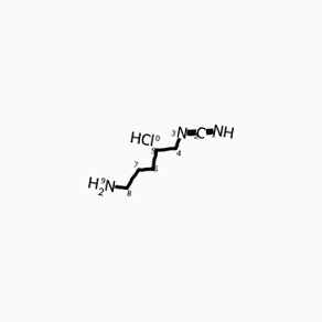 Cl.N=C=NCCCCCN